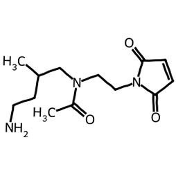 CC(=O)N(CCN1C(=O)C=CC1=O)CC(C)CCN